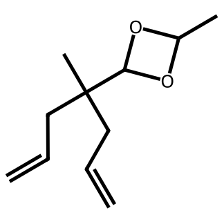 C=CCC(C)(CC=C)C1OC(C)O1